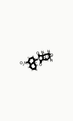 O=C1C2C3OC([C@H]2C(=O)N1c1ccc([N+](=O)[O-])c2ccccc12)[C@@H]1O[C@H]31